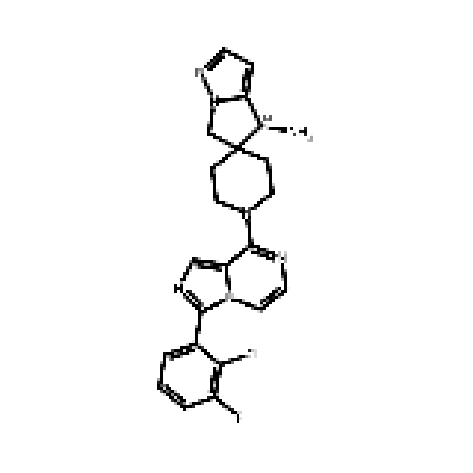 N[C@@H]1c2ccnn2CC12CCN(c1nccn3c(-c4cccc(F)c4Cl)ncc13)CC2